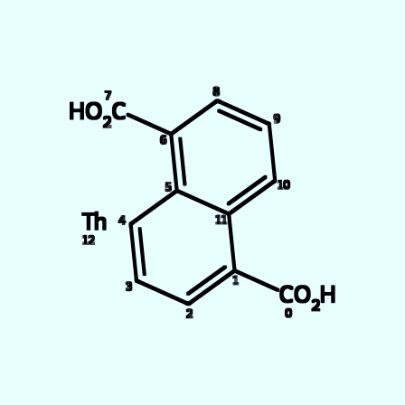 O=C(O)c1cccc2c(C(=O)O)cccc12.[Th]